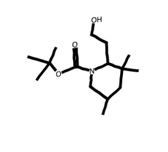 CC1CN(C(=O)OC(C)(C)C)C(CCO)C(C)(C)C1